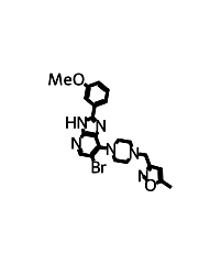 COc1cccc(-c2nc3c(N4CCN(Cc5cc(C)on5)CC4)c(Br)cnc3[nH]2)c1